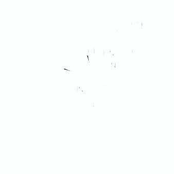 CC(C)(C)OC(=O)NN(Cc1ccco1)C[C@H](O)[C@H](Cc1ccccc1)NC(=O)OCc1ccccc1